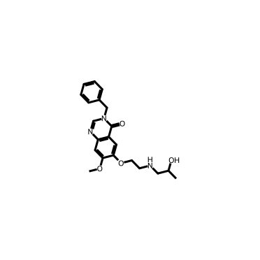 COc1cc2ncn(Cc3ccccc3)c(=O)c2cc1OCCNCC(C)O